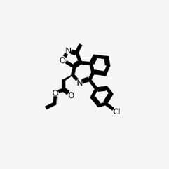 CCOC(=O)C[C@@H]1N=C(c2ccc(Cl)cc2)c2ccccc2-c2c(C)noc21